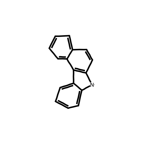 c1ccc2c(c1)[N]c1ccc3ccccc3c1-2